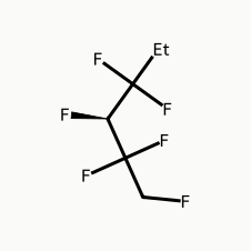 [CH2]CC(F)(F)[C@H](F)C(F)(F)CF